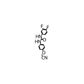 N#CCOc1ccc(NC(=O)Nc2ccc(F)c(F)c2)cc1